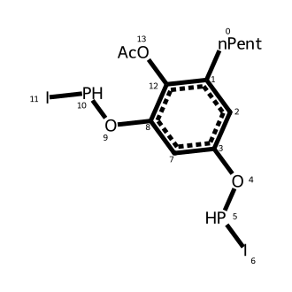 CCCCCc1cc(OPI)cc(OPI)c1OC(C)=O